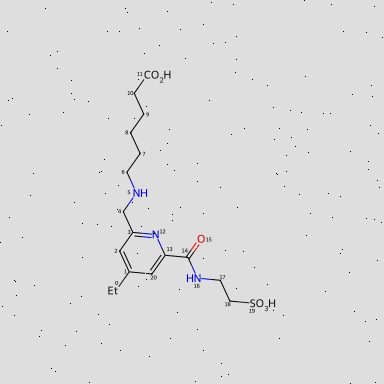 CCc1cc(CNCCCCCC(=O)O)nc(C(=O)NCCS(=O)(=O)O)c1